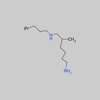 CC(C)CCCNCC(C)CCCCN